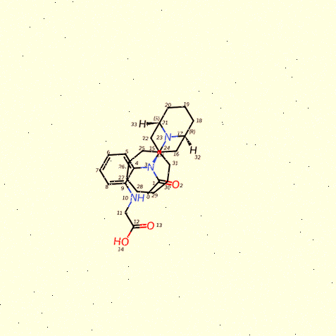 CC(=O)N(c1ccccc1NCC(=O)O)[C@@H]1C[C@H]2CCC[C@@H](C1)N2C1CCCCCCC1